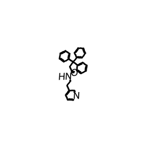 O=C(CC(c1ccccc1)(c1ccccc1)c1ccccc1)NCCc1cccnc1